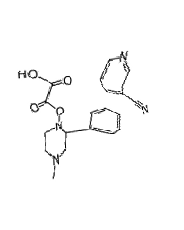 CN1CCN(OC(=O)C(=O)O)C(c2ccccc2)C1.N#Cc1cccnc1